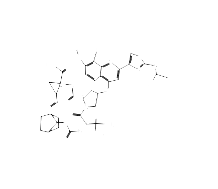 C=CC1C[C@]1(NC(=O)[C@@H]1CC(Oc2cc(-c3csc(NC(C)C)n3)nc3c(Cl)c(OC)ccc23)CN1C(=O)[C@@H](NC(=O)OC1C2CCC1CC2)C(C)(C)C)C(=O)O